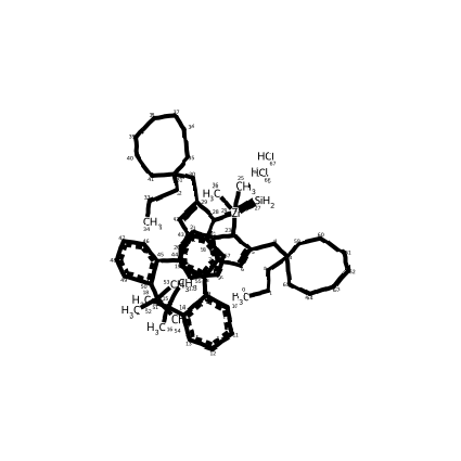 CCCC1(CC2=Cc3c(-c4ccccc4C(C)(C)C)cccc3[CH]2[Zr]([CH3])([CH3])(=[SiH2])[CH]2C(CC3(CCC)CCCCCCC3)=Cc3c(-c4ccccc4C(C)(C)C)cccc32)CCCCCCC1.Cl.Cl